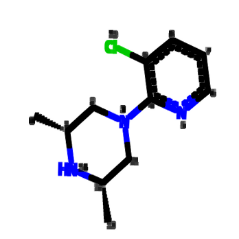 C[C@@H]1CN(c2ncccc2Cl)C[C@H](C)N1